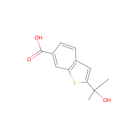 CC(C)(O)c1cc2ccc(C(=O)O)cc2s1